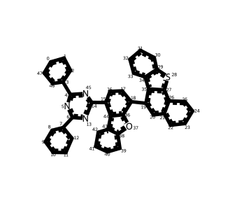 c1ccc(-c2nc(-c3ccccc3)nc(-c3ccc(-c4cc5ccccc5c5sc6ccccc6c45)c4oc5ccccc5c34)n2)cc1